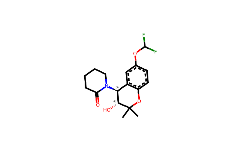 CC1(C)Oc2ccc(OC(F)F)cc2[C@H](N2CCCCC2=O)[C@H]1O